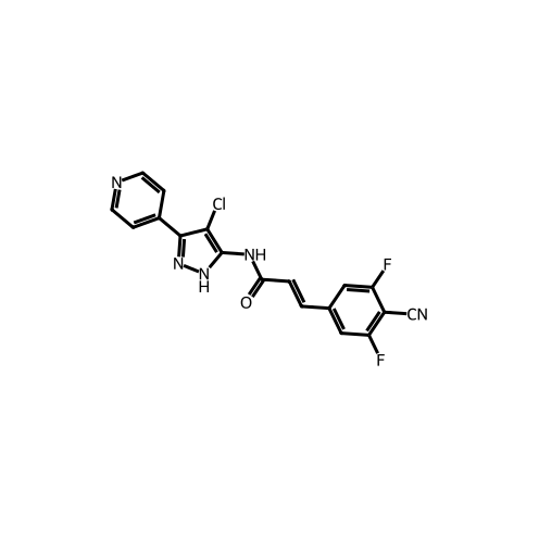 N#Cc1c(F)cc(C=CC(=O)Nc2[nH]nc(-c3ccncc3)c2Cl)cc1F